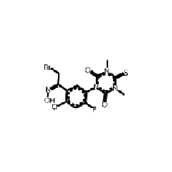 Cn1c(=S)n(C)c(=O)n(-c2cc(/C(CBr)=N\O)c(Cl)cc2F)c1=O